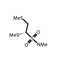 CNS(=O)(=O)[C@@H](CSC)SC